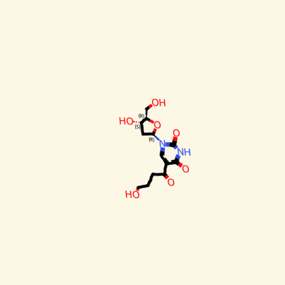 O=C(CCCO)c1cn([C@H]2C[C@H](O)[C@@H](CO)O2)c(=O)[nH]c1=O